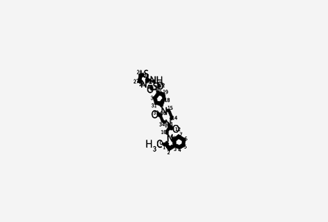 Cc1cc2ccccc2n1CC(=O)N1CCN(c2ccc(S(=O)(=O)Nc3nccs3)cc2)C(=O)C1